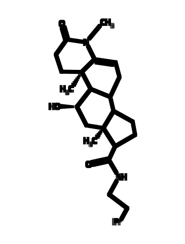 CC(C)CCNC(=O)C1CCC2C3CC=C4N(C)C(=O)CC[C@]4(C)C3[C@@H](O)C[C@]12C